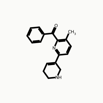 Cc1ccc(C2=CCCNC2)nc1C(=O)c1ccccc1